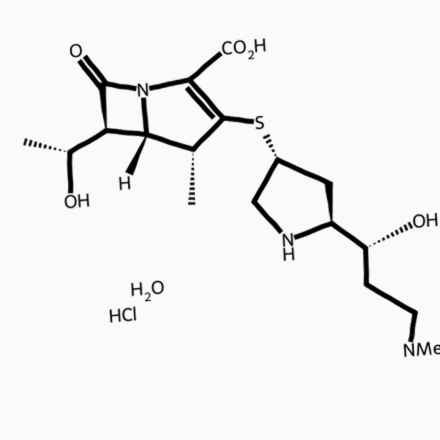 CNCC[C@@H](O)[C@@H]1C[C@@H](SC2=C(C(=O)O)N3C(=O)[C@H]([C@@H](C)O)[C@H]3[C@H]2C)CN1.Cl.O